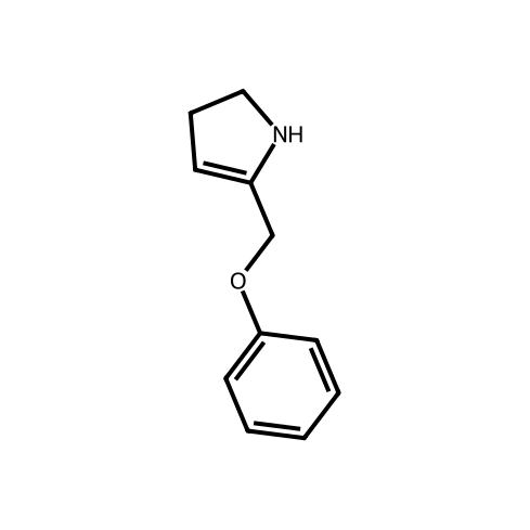 C1=C(COc2ccccc2)NCC1